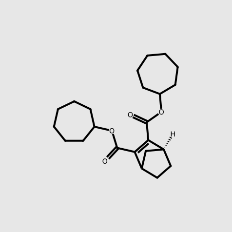 O=C(OC1CCCCCC1)C1=C(C(=O)OC2CCCCCC2)[C@H]2CCC1C2